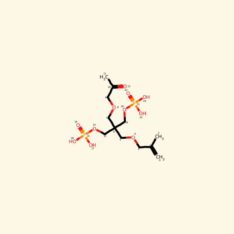 C=C(C)COCC(COCC(C)=O)(COP(=O)(O)O)COP(=O)(O)O